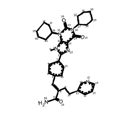 Cn1c(-c2ccc(/C=C(\CCc3cccnc3)C(N)=O)cc2)nc2c(=O)n(C3CCCCC3)c(=O)n(C3CCCCC3)c21